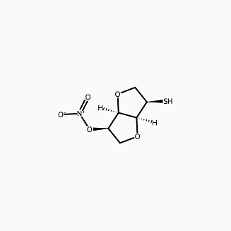 O=[N+]([O-])O[C@@H]1CO[C@H]2[C@@H]1OC[C@H]2S